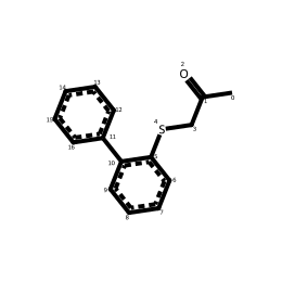 CC(=O)CSc1ccccc1-c1ccccc1